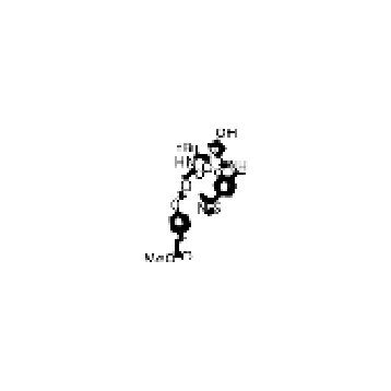 COC(=O)CCc1ccc(OCCOCC(=O)N[C@H](C(=O)N2C[C@H](O)C[C@H]2C(=O)N[C@@H](C)c2ccc(-c3scnc3C)cc2)C(C)(C)C)cc1